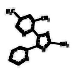 Cc1cnc(-c2sc(N)nc2-c2ccccn2)c(C)c1